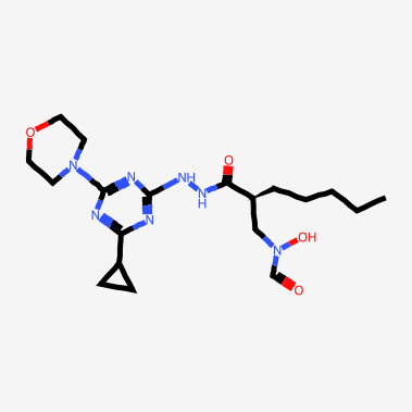 CCCCC[C@@H](CN(O)C=O)C(=O)NNc1nc(C2CC2)nc(N2CCOCC2)n1